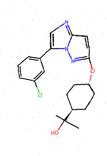 CC(C)(O)[C@H]1CC[C@H](Oc2ccc3ncc(-c4cccc(Cl)c4)n3n2)CC1